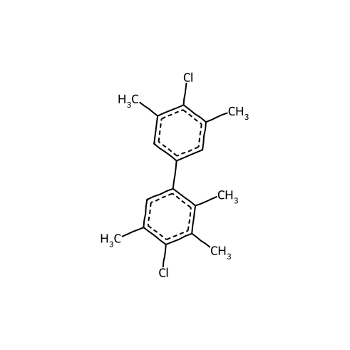 Cc1cc(-c2cc(C)c(Cl)c(C)c2C)cc(C)c1Cl